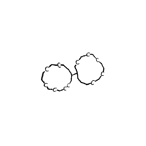 C1CCCCCCCC(C2CCCCCCCCCCCCCC2)CCCCCC1